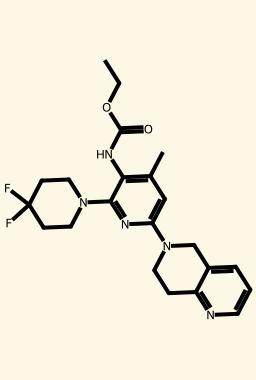 CCOC(=O)Nc1c(C)cc(N2CCc3ncccc3C2)nc1N1CCC(F)(F)CC1